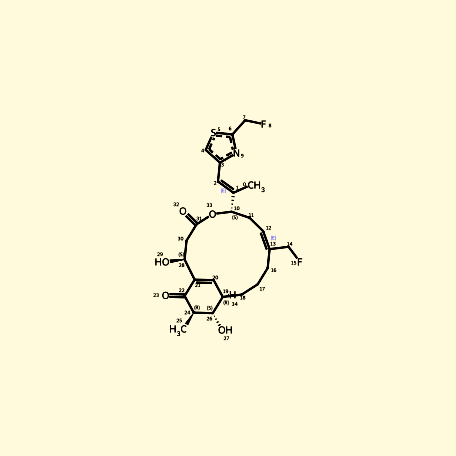 C/C(=C\c1csc(CF)n1)[C@@H]1C/C=C(/CF)CCC[C@@H]2C=C(C(=O)[C@H](C)[C@H]2O)[C@@H](O)CC(=O)O1